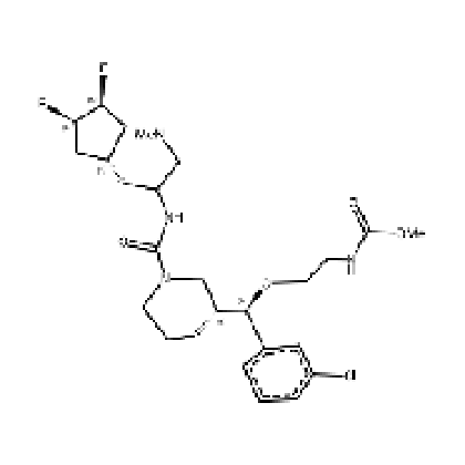 CNCC(C[C@@H]1C[C@@H](F)[C@@H](F)C1)NC(=O)N1CCC[C@@H]([C@@H](OCCNC(=O)OC)c2cccc(Cl)c2)C1